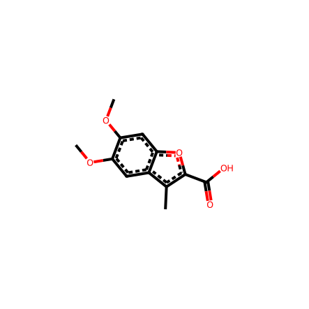 COc1cc2oc(C(=O)O)c(C)c2cc1OC